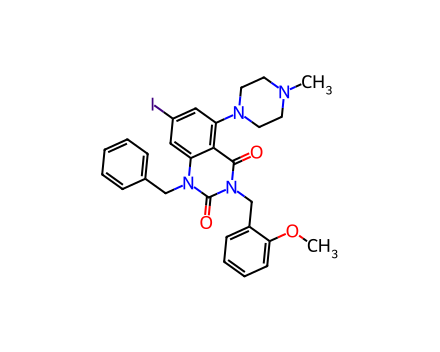 COc1ccccc1Cn1c(=O)c2c(N3CCN(C)CC3)cc(I)cc2n(Cc2ccccc2)c1=O